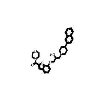 O=C(c1cc2cccc(OCC(O)CN3CCC(c4ccc5ccccc5c4)CC3)c2o1)N1CCOCC1